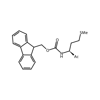 CSCC[C@H](NC(=O)OCC1c2ccccc2-c2ccccc21)C(C)=O